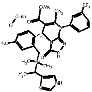 COC(=O)C1=C(C)N(c2cccc(C(F)(F)F)c2)c2n[nH]c(=O)n2[C@@H]1c1ccc(C#N)cc1C[N+](C)(C)C(C)c1c[nH]cn1.O=C[O-]